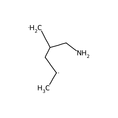 [CH2]C(CN)C[CH]C